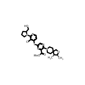 COC(=O)c1nc(Sc2ccnc(N3CCCC3CO)c2Cl)cnc1N1CCC2(CC1)CO[C@@H](C)[C@H]2C